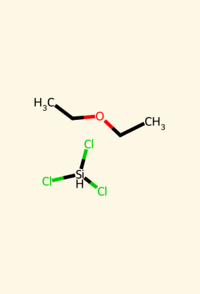 CCOCC.Cl[SiH](Cl)Cl